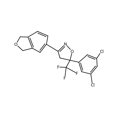 FC(F)(F)C1(c2cc(Cl)cc(Cl)c2)CC(c2ccc3c(c2)COC3)=NO1